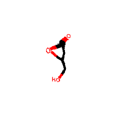 O=C1OC1CO